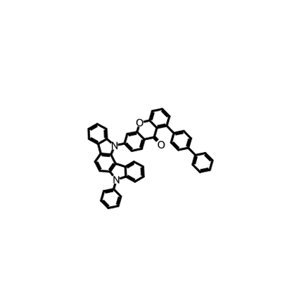 O=c1c2ccc(-n3c4ccccc4c4ccc5c(c6ccccc6n5-c5ccccc5)c43)cc2oc2cccc(-c3ccc(-c4ccccc4)cc3)c12